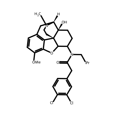 COc1ccc2c3c1OC1C(N(CC(C)C)C(=O)Cc4ccc(Cl)c(Cl)c4)CC[C@@]4(O)[C@@H](C2)N(C)CC[C@]314